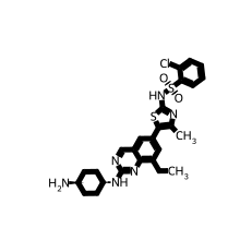 CCc1cc(-c2sc(NS(=O)(=O)c3ccccc3Cl)nc2C)cc2cnc(N[C@H]3CC[C@H](N)CC3)nc12